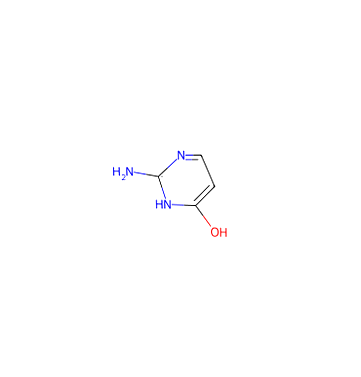 N[C]1N=CC=C(O)N1